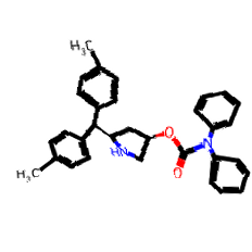 Cc1ccc(C(c2ccc(C)cc2)[C@H]2C[C@@H](OC(=O)N(c3ccccc3)c3ccccc3)CN2)cc1